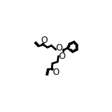 C=CC(=O)CCCOC(OCCCC(=O)C=C)c1ccccc1